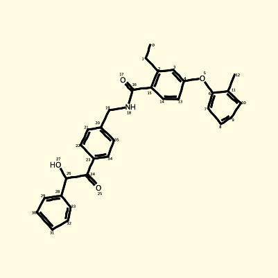 CCc1cc(Oc2ccccc2C)ccc1C(=O)NCc1ccc(C(=O)C(O)c2ccccc2)cc1